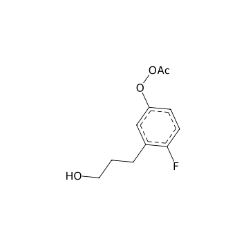 CC(=O)OOc1ccc(F)c(CCCO)c1